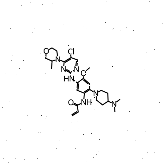 C=CC(=O)Nc1cc(Nc2ncc(Cl)c(N3CCOCC3C)n2)c(OC)cc1N1CCC(N(C)C)CC1